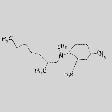 CCCCCC(C)CN(C)C1CCC(C)CC1N